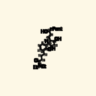 CCCCC[C@H](O)/C=C/[C@@H]1[C@H]2c3cccc(CCCC(=O)N(CC)CC)c3O[C@H]2C[C@H]1O